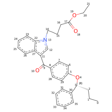 CCC[C@@H](Oc1ccc(C(=O)c2cn(CCCC(=O)OCC)c3ccccc23)cc1)c1ccccc1